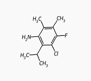 Cc1c(C)c(F)c(Cl)c(C(C)C)c1N